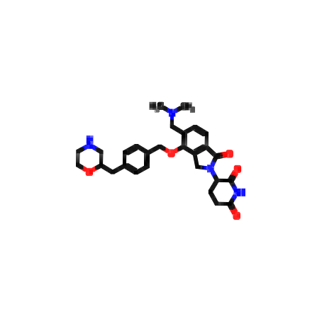 CN(C)Cc1ccc2c(c1OCc1ccc(CC3CNCCO3)cc1)CN(C1CCC(=O)NC1=O)C2=O